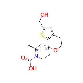 C[C@H]1C[C@@]2(CCN1C(=O)O)OCCc1cc(CO)sc12